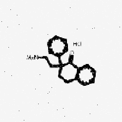 CNCCC1(c2ccccc2)CCc2ccccc2C1=O.Cl